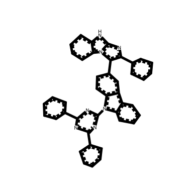 c1ccc(-c2nc(-c3ccccc3)nc(-n3c4ccccc4c4cc(-c5c(-c6ccccc6)nc6[nH]c7ccccc7n56)ccc43)n2)cc1